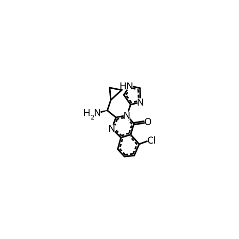 N[C@H](c1nc2cccc(Cl)c2c(=O)n1-c1c[nH]cn1)C1CC1